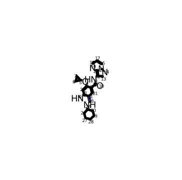 N=C1C=C(OC2CC2)C(C(=O)Nc2cnn3cccnc23)=C/C1=C/NC1CCCCC1